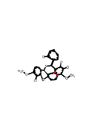 COc1ccc(C(SC(c2ccccc2Cl)c2ccc(OC)c(Cl)c2Cl)c2ccccc2Cl)c(Cl)c1Cl